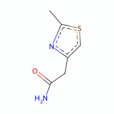 Cc1nc(CC(N)=O)cs1